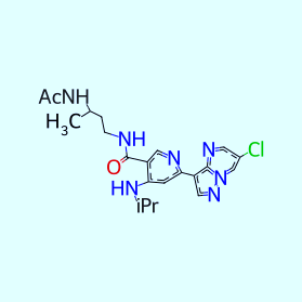 CC(=O)NC(C)CCNC(=O)c1cnc(-c2cnn3cc(Cl)cnc23)cc1NC(C)C